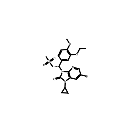 CCOc1cc([C@@H](CS(C)(=O)=O)n2c(=O)n(C3CC3)c3cc(Br)cnc32)ccc1OC